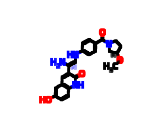 CO[C@@H]1CCN(C(=O)c2ccc(N/C=C(\N)c3cc4cc(O)ccc4[nH]c3=O)cc2)C1